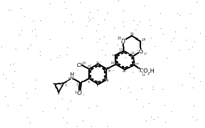 O=C(NC1CC1)c1ccc(-c2cc3c(c(C(=O)O)c2)OCCO3)cc1Cl